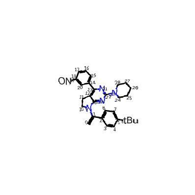 C=C(c1ccc(C(C)(C)C)cc1)N1CCc2c(-c3cccc(N=O)c3)nc(N3CCCCC3)nc21